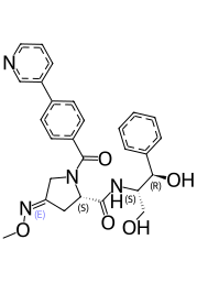 CO/N=C1\C[C@@H](C(=O)N[C@@H](CO)[C@H](O)c2ccccc2)N(C(=O)c2ccc(-c3cccnc3)cc2)C1